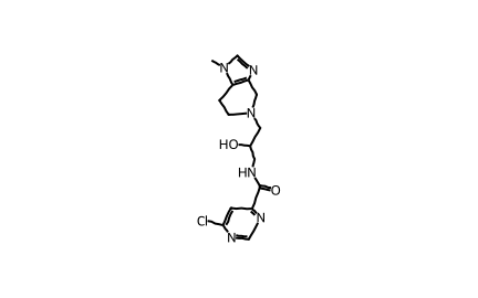 Cn1cnc2c1CCN(CC(O)CNC(=O)c1cc(Cl)ncn1)C2